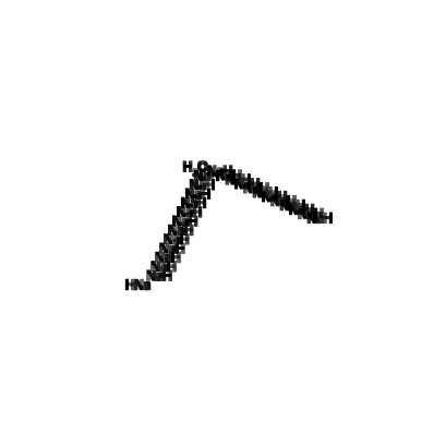 O.[NaH].[NaH].[NaH].[NaH].[NaH].[NaH].[NaH].[NaH].[NaH].[NaH].[NaH].[NaH].[NaH].[NaH].[NaH].[NaH].[NaH].[NaH].[NaH].[NaH].[NaH].[NaH].[NaH].[NaH].[NaH]